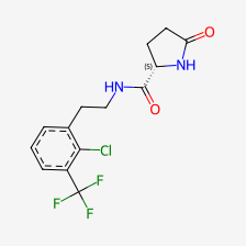 O=C1CC[C@@H](C(=O)NCCc2cccc(C(F)(F)F)c2Cl)N1